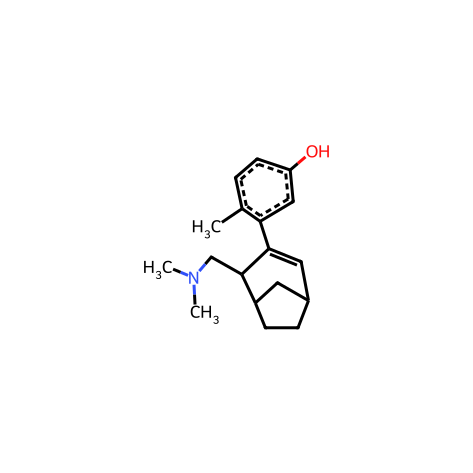 Cc1ccc(O)cc1C1=CC2CCC(C2)C1CN(C)C